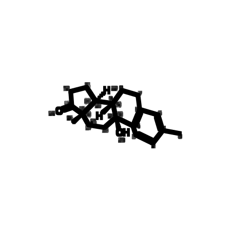 Cc1ccc2c(c1)CC[C@H]1[C@@H]3CCC(=O)[C@@]3(C)CC[C@@]21O